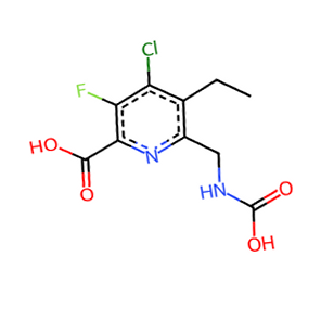 CCc1c(CNC(=O)O)nc(C(=O)O)c(F)c1Cl